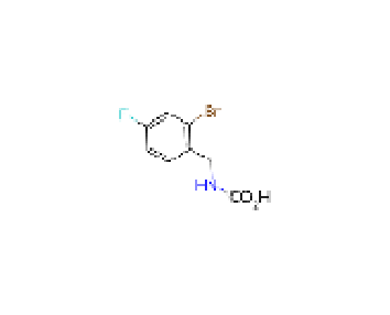 O=C(O)NCc1ccc(F)cc1Br